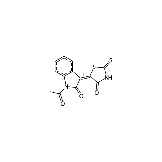 CC(=O)N1C(=O)/C(=C2/SC(=S)NC2=O)c2ccccc21